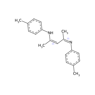 C/C(=C/C(C)=N\c1ccc(C)cc1)Nc1ccc(C)cc1